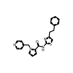 O=C(Nc1nc(CCc2ccccc2)cs1)c1cccn1Cc1ccncc1